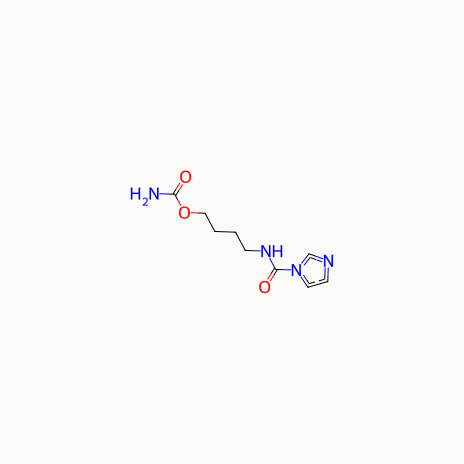 NC(=O)OCCCCNC(=O)n1ccnc1